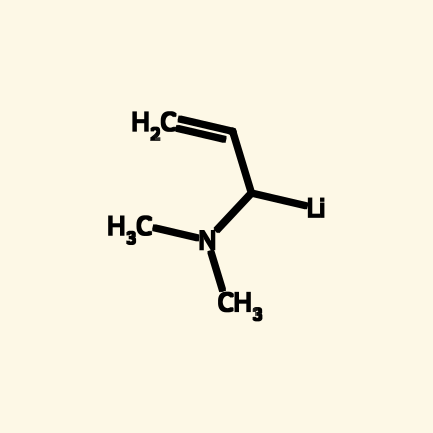 [Li][CH](C=C)N(C)C